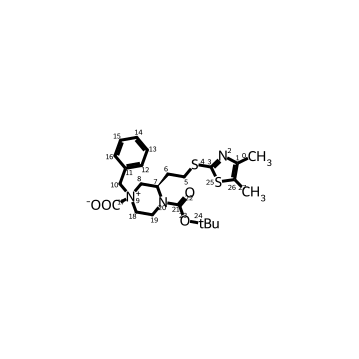 Cc1nc(SCC[C@@H]2C[N+](Cc3ccccc3)(C(=O)[O-])CCN2C(=O)OC(C)(C)C)sc1C